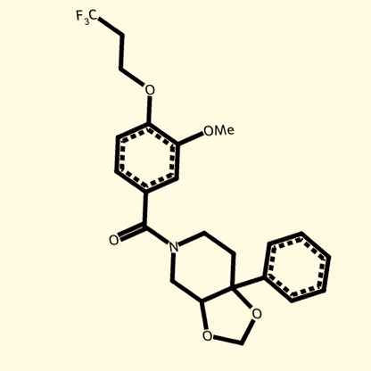 COc1cc(C(=O)N2CCC3(c4ccccc4)OCOC3C2)ccc1OCCC(F)(F)F